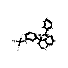 O=C(NC1(c2cccc(OC(F)(F)F)c2)CCOc2cccnc21)c1ccccc1